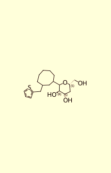 OC[C@@H]1C[C@H](O)[C@@H](O)C(C2CCCCCC(Cc3cccs3)C2)O1